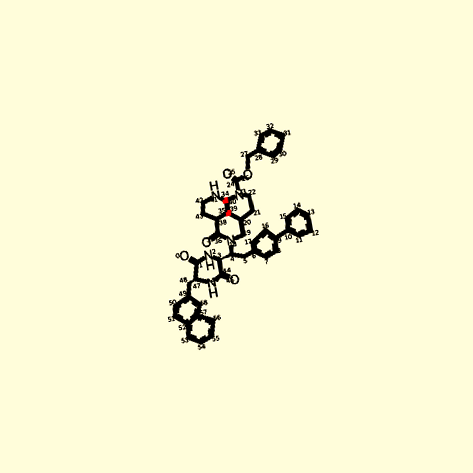 O=C1N[C@@H](C(Cc2ccc(-c3ccccc3)cc2)N(CC2CCN(C(=O)OCc3ccccc3)CC2)C(=O)C2CCNCC2)C(=O)N[C@H]1Cc1ccc2ccccc2c1